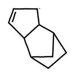 [CH]1C=CC2C3CCC(C3)C12